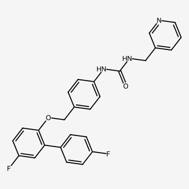 O=C(NCc1cccnc1)Nc1ccc(COc2ccc(F)cc2-c2ccc(F)cc2)cc1